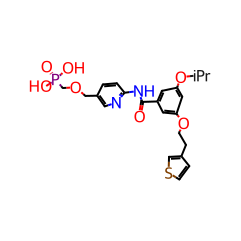 CC(C)Oc1cc(OCCc2ccsc2)cc(C(=O)Nc2ccc(COCP(=O)(O)O)cn2)c1